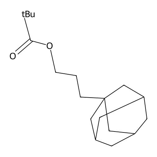 CC(C)(C)C(=O)OCCCC12CC3CC(CC(C3)C1)C2